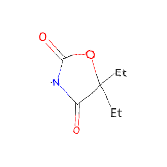 CCC1(CC)OC(=O)[N]C1=O